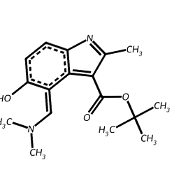 CC1=Nc2ccc(O)c(=CN(C)C)c2=C1C(=O)OC(C)(C)C